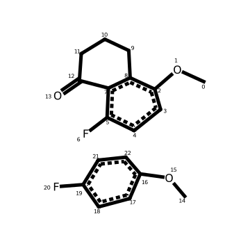 COc1ccc(F)c2c1CCCC2=O.COc1ccc(F)cc1